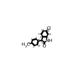 Cc1ccc(C2C(=O)Nc3cc(Cl)ccc32)cc1